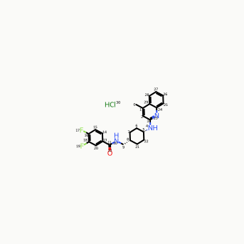 Cc1cc(N[C@H]2CC[C@@H](CNC(=O)c3ccc(F)c(F)c3)CC2)nc2ccccc12.Cl